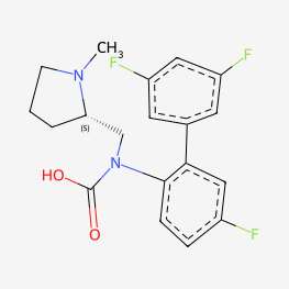 CN1CCC[C@H]1CN(C(=O)O)c1ccc(F)cc1-c1cc(F)cc(F)c1